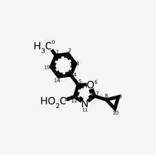 Cc1ccc(-c2oc(C3CC3)nc2C(=O)O)cc1